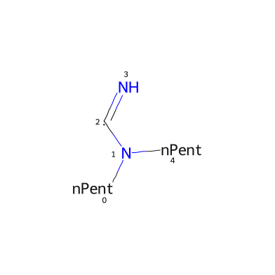 CCCCCN([C]=N)CCCCC